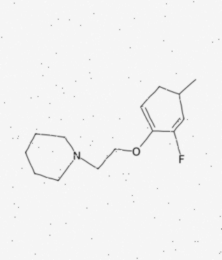 CC1C=C(F)C(OCCN2CCCCC2)=CC1